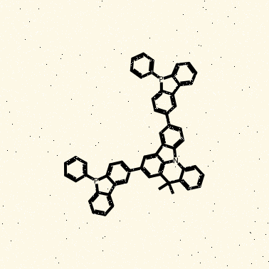 CC1(C)c2ccccc2-n2c3ccc(-c4ccc5c(c4)c4ccccc4p5-c4ccccc4)cc3c3cc(-c4ccc5c(c4)c4ccccc4p5-c4ccccc4)cc1c32